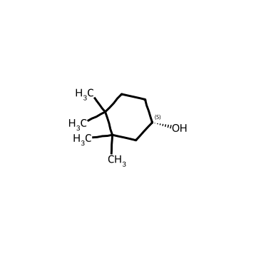 CC1(C)CC[C@H](O)CC1(C)C